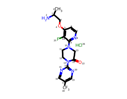 CC(N)COc1ccnc(N2CCN(c3ncc(C(F)(F)F)cn3)C(=O)C2)c1F.Cl